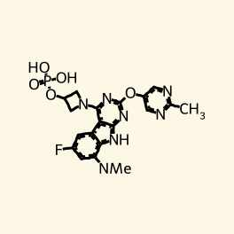 CNc1cc(F)cc2c1[nH]c1nc(Oc3cnc(C)nc3)nc(N3CC(OP(=O)(O)O)C3)c12